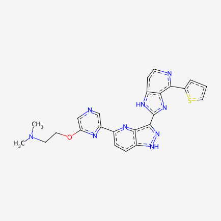 CN(C)CCOc1cncc(-c2ccc3[nH]nc(-c4nc5c(-c6cccs6)nccc5[nH]4)c3n2)n1